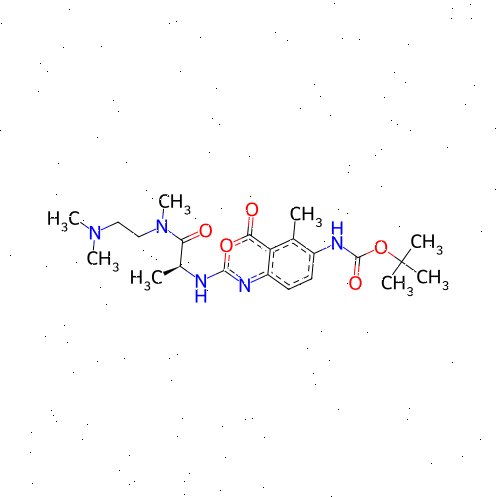 Cc1c(NC(=O)OC(C)(C)C)ccc2nc(N[C@@H](C)C(=O)N(C)CCN(C)C)oc(=O)c12